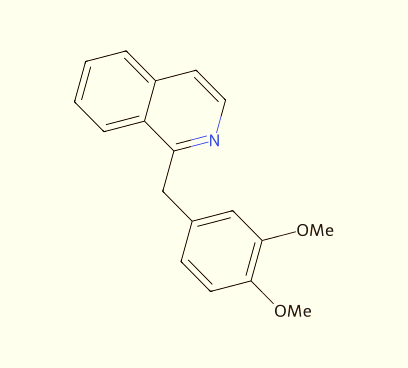 COc1ccc(Cc2nccc3ccccc23)cc1OC